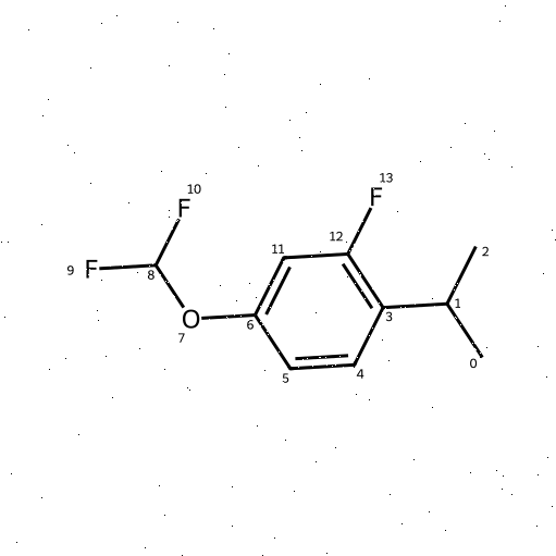 CC(C)c1ccc(OC(F)F)cc1F